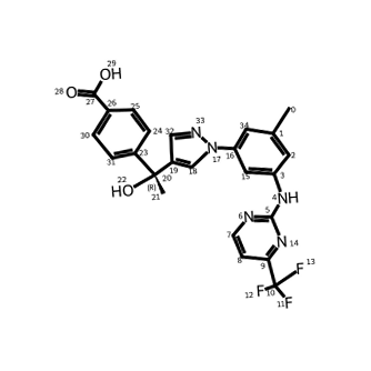 Cc1cc(Nc2nccc(C(F)(F)F)n2)cc(-n2cc([C@](C)(O)c3ccc(C(=O)O)cc3)cn2)c1